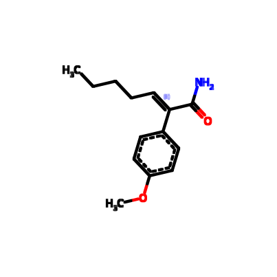 CCCC/C=C(/C(N)=O)c1ccc(OC)cc1